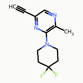 C#Cc1cnc(C)c(N2CCC(F)(F)CC2)n1